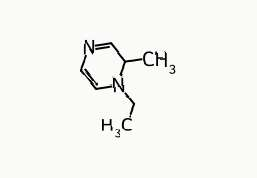 CCN1C=CN=CC1C